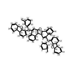 Cc1cccc(N(C2=CC3C(OC4C=C(N(C5=CC=CC6C5OC5C=CC=CC56)c5cccc(C)c5)c5ccccc5C43)c3ccccc32)C2=CC=CC3C2OC2C=CC=CC23)c1